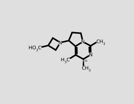 CC1=N[C@@H](C)C(C)=C2C(N3CC(C(=O)O)C3)CCN12